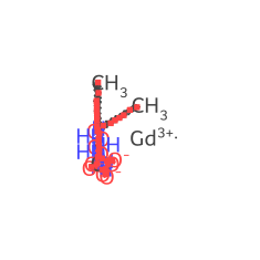 CCCCCCCCCCCCCCCCCCN(CCCCCCCCCCCCCCCCCC)C(=O)CNC(=O)CNC(=O)CNC(=O)CN1CCN(CC(=O)[O-])CCN(CC(=O)[O-])CCN(CC(=O)[O-])CC1.[Gd+3]